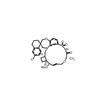 CO[C@@H]1/C=C/CO[C@@H](C)C(=O)NS(=O)(=O)c2ccc3c(c2)N(C[C@@H]2CC[C@H]21)C[C@@]1(CCCc2cc(Cl)ccc21)CO3